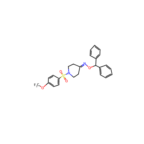 O=S(=O)(c1ccc(OC(F)(F)F)cc1)N1CCC(=NOC(c2ccccc2)c2ccccc2)CC1